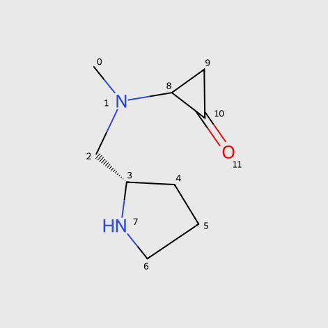 CN(C[C@@H]1CCCN1)C1CC1=O